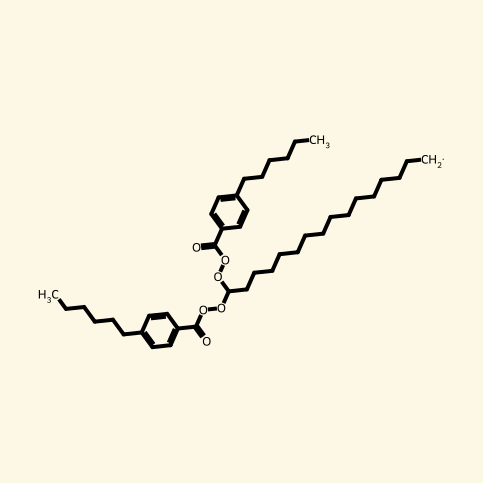 [CH2]CCCCCCCCCCCCCC[C](OOC(=O)c1ccc(CCCCCC)cc1)OOC(=O)c1ccc(CCCCCC)cc1